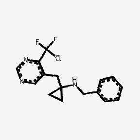 FC(F)(Cl)c1ncncc1CC1(NCc2ccccc2)CC1